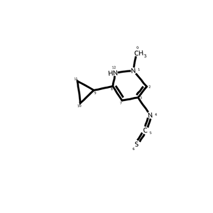 CN1C=C(N=C=S)C=C(C2CC2)N1